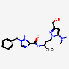 CN(C)c1cc(CO)nn1CCC(C=O)NC(=O)C1N=CN(Cc2ccccc2)N1